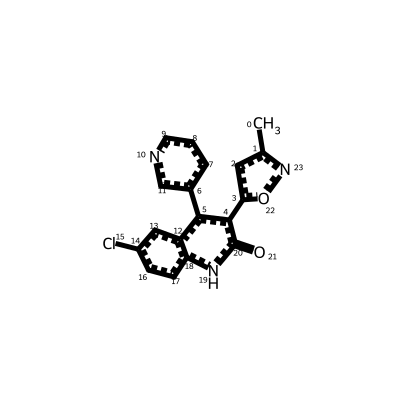 Cc1cc(-c2c(-c3cccnc3)c3cc(Cl)ccc3[nH]c2=O)on1